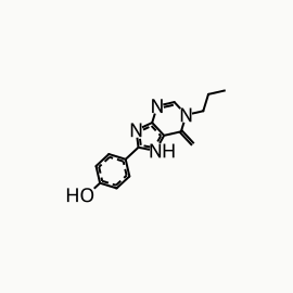 C=C1c2[nH]c(-c3ccc(O)cc3)nc2N=CN1CCC